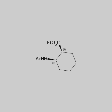 CCOC(=O)[C@H]1CCCC[C@H]1NC(C)=O